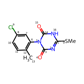 CSc1nc(=O)n(-c2cc(Cl)ccc2C)c(=O)[nH]1